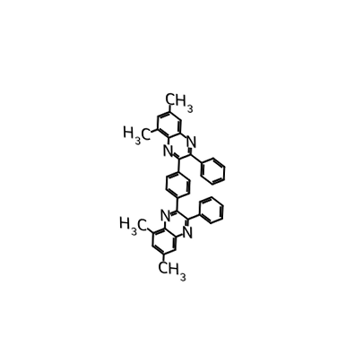 Cc1cc(C)c2nc(-c3ccc(-c4nc5c(C)cc(C)cc5nc4-c4ccccc4)cc3)c(-c3ccccc3)nc2c1